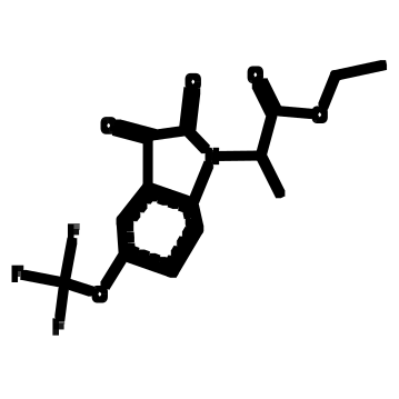 CCOC(=O)C(C)N1C(=O)C(=O)c2cc(OC(F)(F)F)ccc21